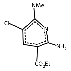 CCOC(=O)c1cc(Cl)c(NC)nc1N